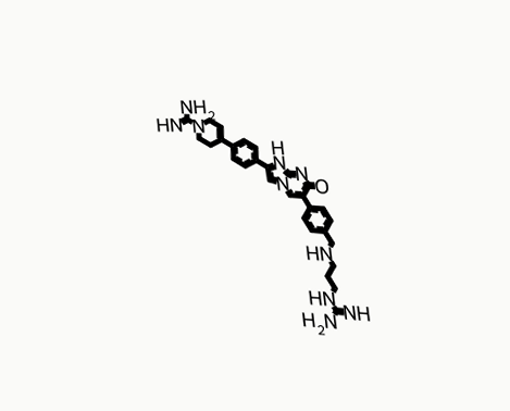 N=C(N)NCCCNCc1ccc(-c2cn3cc(-c4ccc(C5=CCN(C(=N)N)CC5)cc4)[nH]c3nc2=O)cc1